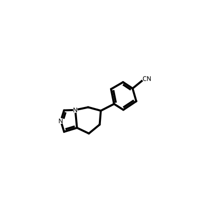 N#Cc1ccc(C2CCc3cncn3C2)cc1